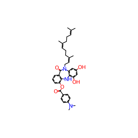 CC(C)=CCCC(C)=CCCC(C)=CCN1C(=O)c2cccc(OC(=O)c3ccc(N(C)C)cc3)c2Nc2c(O)cc(O)cc21